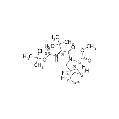 COC(=O)[C@@H]1[C@H]2[C@H]3C=C[C@H](C3)[C@@]2(F)CN1C(=O)[C@@H](NC(=O)OC(C)(C)C)C(C)(C)C